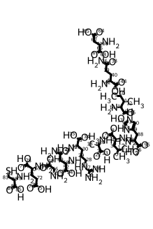 CC(C)C[C@H](N)C(=O)O.CC[C@H](C)[C@H](N)C(=O)O.C[C@H](N)C(=O)O.N=C(N)NCCC[C@H](N)C(=O)O.NC(=O)CC[C@H](N)C(=O)O.NC(=O)C[C@H](N)C(=O)O.NCC(=O)O.N[C@@H](CC(=O)O)C(=O)O.N[C@@H](CCC(=O)O)C(=O)O.N[C@@H](CS)C(=O)O.N[C@@H](Cc1c[nH]cn1)C(=O)O